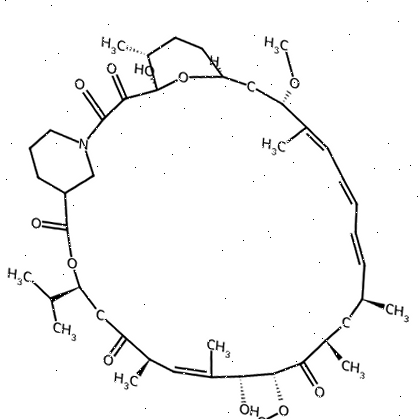 CO[C@H]1C[C@@H]2CC[C@@H](C)[C@@](O)(O2)C(=O)C(=O)N2CCCC(C2)C(=O)O[C@H](C(C)C)CC(=O)[C@H](C)/C=C(\C)[C@@H](O)[C@@H](OC)C(=O)[C@H](C)C[C@H](C)/C=C/C=C/C=C/1C